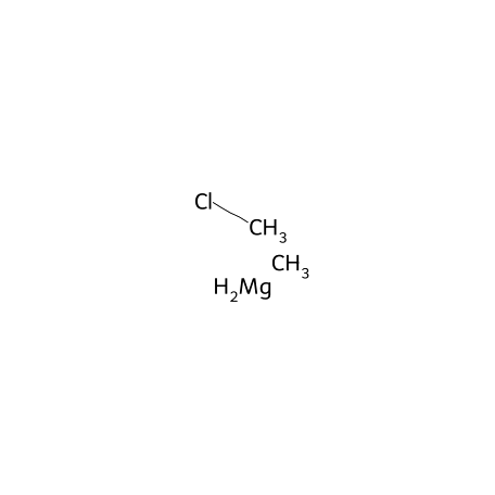 CCl.[CH3].[MgH2]